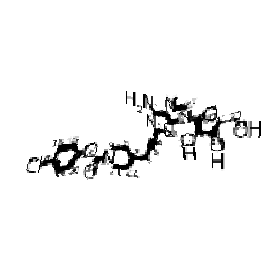 Nc1nc(C#CCC2CCN(C(=O)Oc3ccc(Cl)cc3)CC2)nc2c1ncn2[C@@H]1O[C@H](CO)C(O)C1O